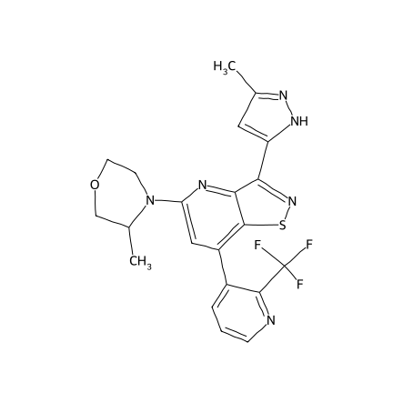 Cc1cc(-c2nsc3c(-c4cccnc4C(F)(F)F)cc(N4CCOCC4C)nc23)[nH]n1